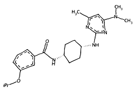 Cc1cc(N(C)C)nc(N[C@H]2CC[C@@H](NC(=O)c3cccc(OC(C)C)c3)CC2)n1